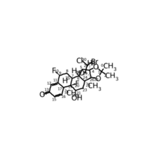 CC1(C)O[C@@H]2C[C@H]3[C@@H]4C[C@H](F)C5=CC(=O)C=C[C@]5(C)[C@@]4(F)[C@@H](O)C[C@]3(C)[C@]2(C(=O)C(Cl)Br)O1